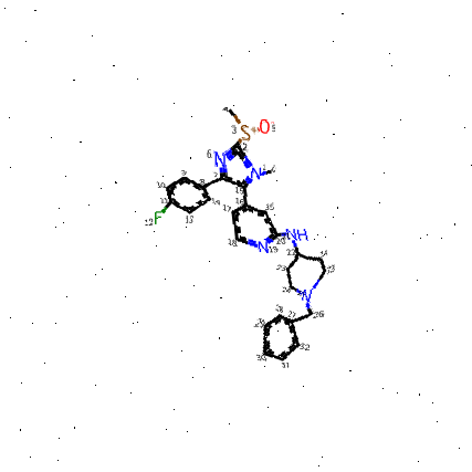 Cn1c([S+](C)[O-])nc(-c2ccc(F)cc2)c1-c1ccnc(NC2CCN(Cc3ccccc3)CC2)c1